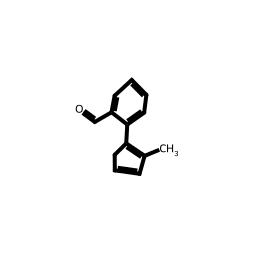 CC1=C(c2ccccc2C=O)CC=C1